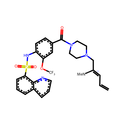 C=C/C=C(/CN1CCN(C(=O)c2ccc(NS(=O)(=O)c3cccc4cccnc34)c(OC(F)(F)F)c2)CC1)NC